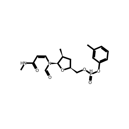 CNC(=O)/C=C\N(C=O)[C@@H]1O[C@H](CO[PH](=O)Oc2cccc(C)c2)C[C@@H]1C